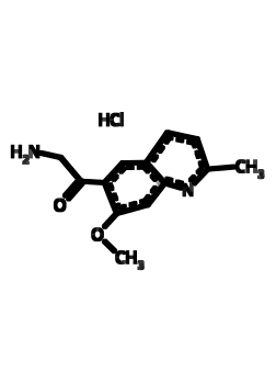 COc1cc2nc(C)ccc2cc1C(=O)CN.Cl